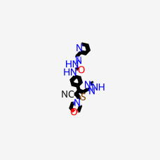 N#Cc1c(N2CCOCC2)sc(-c2nc[nH]n2)c1-c1ccc(NC(=O)N/N=C/c2ccccn2)cc1